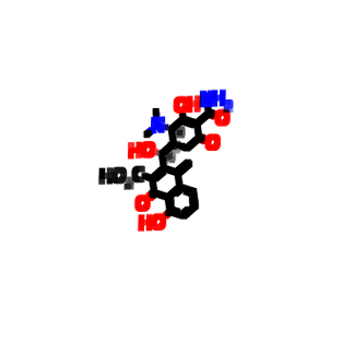 C=C1C([C@H](O)[C@@H]2CC(=O)C(C(N)=O)=C(O)[C@H]2N(C)C)=C(C(=O)O)C(=O)c2c(O)cccc21